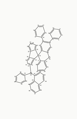 c1ccc(-c2cc3c(cc2-c2ccccc2)C2(c4ccccc4O3)c3ccccc3-c3ccc(N(c4ccccc4)c4cccc5ccccc45)cc32)cc1